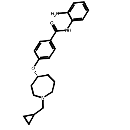 Nc1ccccc1NC(=O)c1ccc(O[C@@H]2CCCN(CC3CC3)CC2)cc1